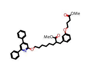 COC(=O)CCCOc1cccc(CC(CCCCCCOc2cc(-c3ccccc3)cc(-c3ccccc3)n2)C(=O)OC)c1